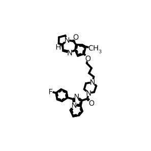 Cc1cc2c(cc1OCCCCN1CCN(C(=O)c3nc(-c4ccc(F)cc4)n4ccccc34)CC1)N=C[C@@H]1CCCN1C2=O